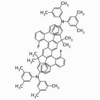 Cc1cc(C)cc(N(c2cc(C)cc(C)c2)c2ccc3c(c2)C(C)(C)c2cc4c(-c5c(F)cccc5-c5ccccc5)c5c(cc4c(-c4c(F)cccc4-c4ccccc4)c2-3)C(C)(C)c2cc(N(c3cc(C)cc(C)c3)c3cc(C)cc(C)c3)ccc2-5)c1